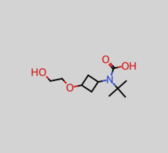 CC(C)(C)N(C(=O)O)C1CC(OCCO)C1